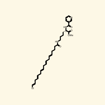 CCC=CCC=CCC=CCC=CCC=CCCCC(=O)NCCCC[C@H](NC(=O)c1cccnc1)C(=O)OC